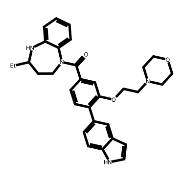 CCC1CCN(C(=O)c2ccc(-c3ccc4[nH]ccc4c3)c(OCCN3CCOCC3)c2)c2ccccc2N1